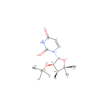 [C-]#[N+][C@]1(CC)O[C@@H](n2ccc(=O)[nH]c2=O)[C@H](O[Si](C)(C)C(C)(C)C)[C@@H]1C